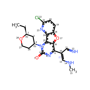 CC[C@H]1C[C@@H](n2c(=O)nc(/C(C=N)=C/NC)c3oc4ccc(Cl)nc4c32)CCO1